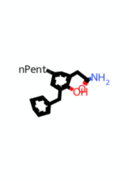 CCCCCc1cc(CC(N)=O)c(O)c(Cc2ccccc2)c1